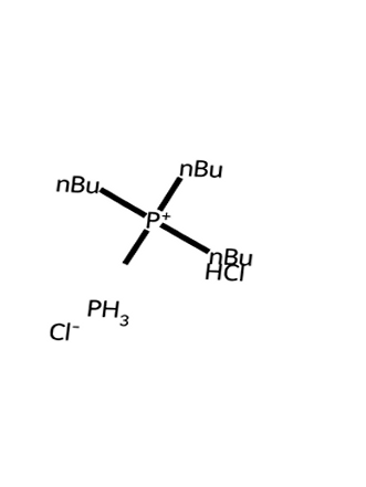 CCCC[P+](C)(CCCC)CCCC.Cl.P.[Cl-]